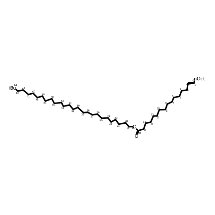 CCCCCCCCC=CCCCCCCCCCCCCCC(=O)OCCCCCCCCCCCCCCCCCCCCCCCCCC(C)CC